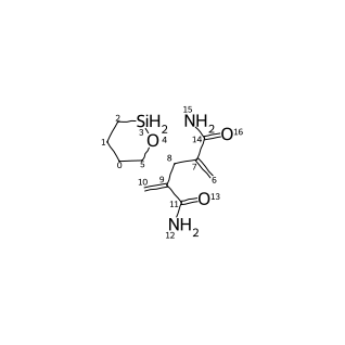 C1CC[SiH2]OC1.C=C(CC(=C)C(N)=O)C(N)=O